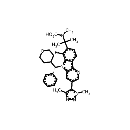 Cc1nnn(C)c1-c1cnc2c3ccc(C(C)(C)N(C)C(=O)O)c(F)c3n([C@H](c3ccccc3)C3CCOCC3)c2c1